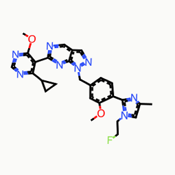 COc1cc(Cn2ncc3cnc(-c4c(OC)ncnc4C4CC4)nc32)ccc1-c1nc(C)cn1CCF